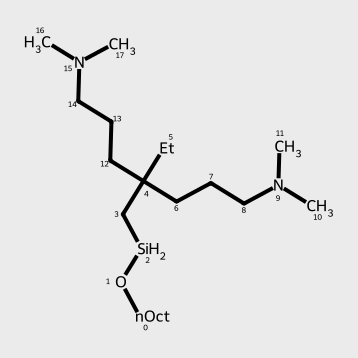 CCCCCCCCO[SiH2]CC(CC)(CCCN(C)C)CCCN(C)C